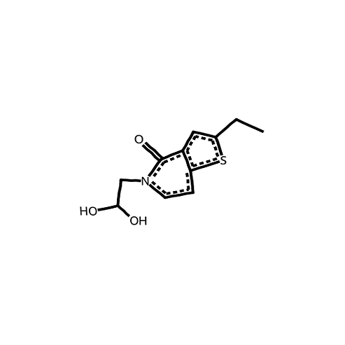 CCc1cc2c(=O)n(CC(O)O)ccc2s1